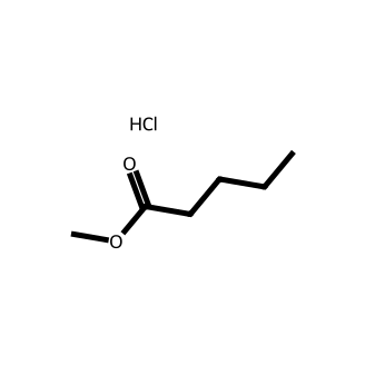 CCCCC(=O)OC.Cl